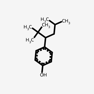 CC(C)CC(c1ccc(O)cc1)C(C)(C)C